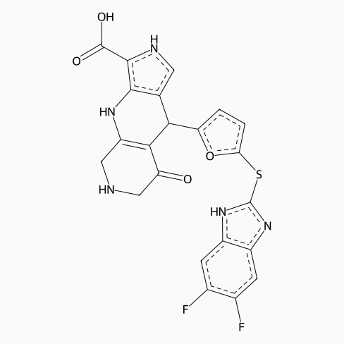 O=C1CNCC2=C1C(c1ccc(Sc3nc4cc(F)c(F)cc4[nH]3)o1)c1c[nH]c(C(=O)O)c1N2